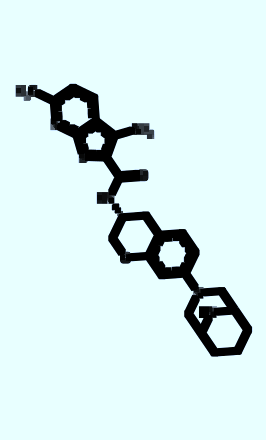 Cc1ccc2c(N)c(C(=O)N[C@H]3COc4cc(N5CC6CCCC(C5)N6)ccc4C3)sc2n1